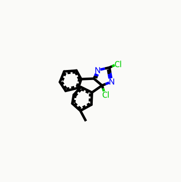 Cc1cccc(C2(Cl)N=C(Cl)N=C2c2ccccc2)c1